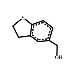 OCc1ccc2c(c1)CCS2